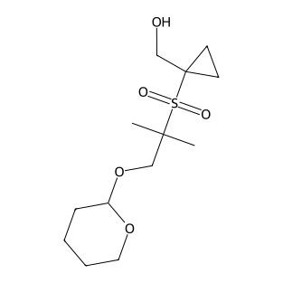 CC(C)(COC1CCCCO1)S(=O)(=O)C1(CO)CC1